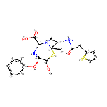 O=C(Cc1cccs1)N[C@H]1CN2[C@H](C(=O)O)N=C(Oc3ccccc3)C(=O)S[C@@H]12